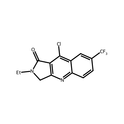 CCN1Cc2nc3ccc(C(F)(F)F)cc3c(Cl)c2C1=O